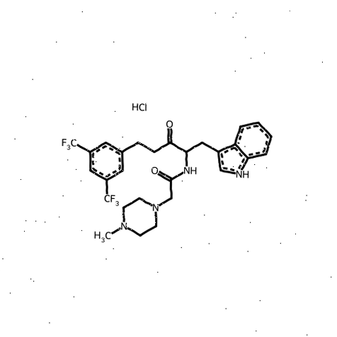 CN1CCN(CC(=O)NC(Cc2c[nH]c3ccccc23)C(=O)CCc2cc(C(F)(F)F)cc(C(F)(F)F)c2)CC1.Cl